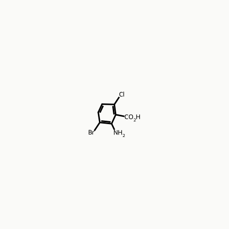 Nc1c(Br)ccc(Cl)c1C(=O)O